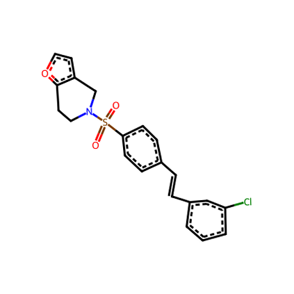 O=S(=O)(c1ccc(C=Cc2cccc(Cl)c2)cc1)N1CCc2occc2C1